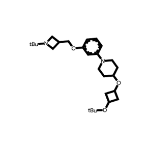 CC(C)(C)OC1CC(OC2CCN(c3cccc(OCC4CN(C(C)(C)C)C4)c3)CC2)C1